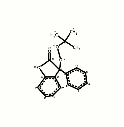 CC(C)(C)OOC1(c2ccccc2)C(=O)Oc2ccccc21